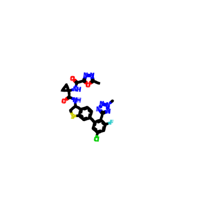 Cc1nnc(C(=O)NC2(C(=O)NC3CSc4cc(-c5cc(Cl)cc(F)c5-c5nnn(C)n5)ccc43)CC2)o1